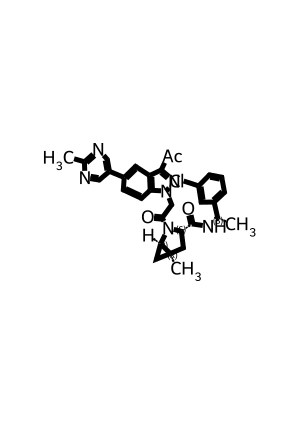 CC(=O)c1nn(CC(=O)N2[C@H](C(=O)N[C@@H](C)c3cccc(Cl)c3)C[C@@]3(C)C[C@@H]23)c2ccc(-c3cnc(C)nc3)cc12